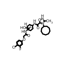 CC1NOC(C(=O)NC23CCC(NC(=O)COc4ccc(Cl)c(F)c4)(CC2)[C@@H](O)C3)N1C1CCCCCCCC1